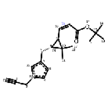 C#CCn1ccc(C[C@@H]2C(/C=C\C(=O)OC(C)(C)C)C2(C)C)c1